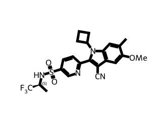 COc1cc2c(C#N)c(-c3ccc(S(=O)(=O)N[C@@H](C)C(F)(F)F)cn3)n(C3CCC3)c2cc1C